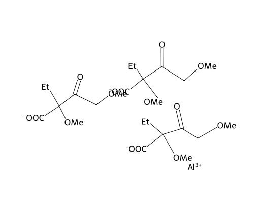 CCC(OC)(C(=O)[O-])C(=O)COC.CCC(OC)(C(=O)[O-])C(=O)COC.CCC(OC)(C(=O)[O-])C(=O)COC.[Al+3]